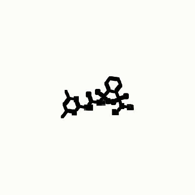 CCN(CC)S(=O)(=O)c1ccccc1S(=O)(=O)NC(=O)Nc1nc(C)cc(C)n1